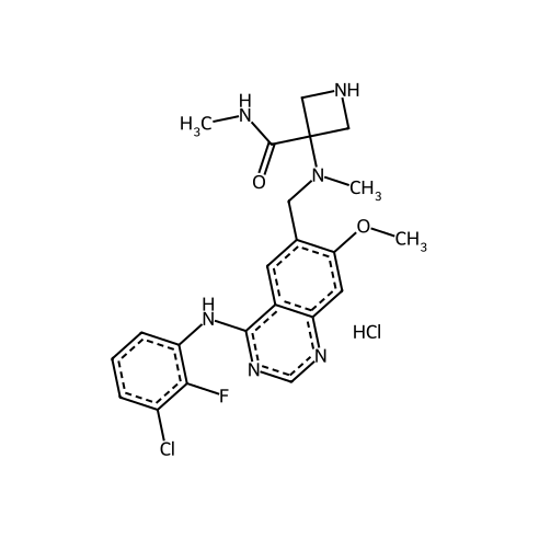 CNC(=O)C1(N(C)Cc2cc3c(Nc4cccc(Cl)c4F)ncnc3cc2OC)CNC1.Cl